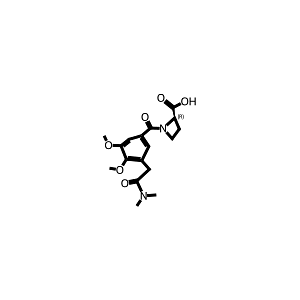 COc1cc(C(=O)N2CC[C@@H]2C(=O)O)cc(CC(=O)N(C)C)c1OC